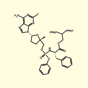 CCCCCCCC(CCCCCCC)COC(=O)[C@H](Cc1ccccc1)NP(=O)(OC[C@]1(C)CC[C@H](n2cnc3c(N)nc(F)nc32)O1)Oc1ccccc1